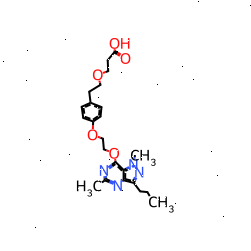 CCCc1nn(C)c2c(OCCOc3ccc(CCOCCC(=O)O)cc3)nc(C)nc12